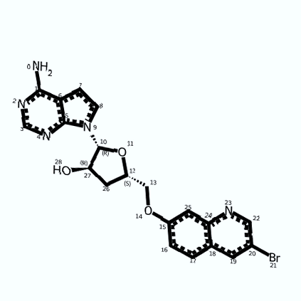 Nc1ncnc2c1ccn2[C@@H]1O[C@H](COc2ccc3cc(Br)cnc3c2)C[C@H]1O